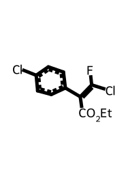 CCOC(=O)/C(=C(/F)Cl)c1ccc(Cl)cc1